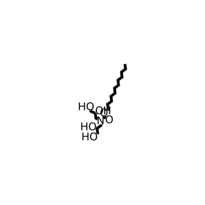 CCCCCCCCCCCCOC(=O)N(CC(O)CO)CC(O)CO